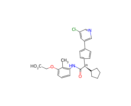 Cc1c(NC(=O)[C@@H](c2ccc(-c3cncc(Cl)c3)cc2)C2CCCC2)cccc1OCC(=O)O